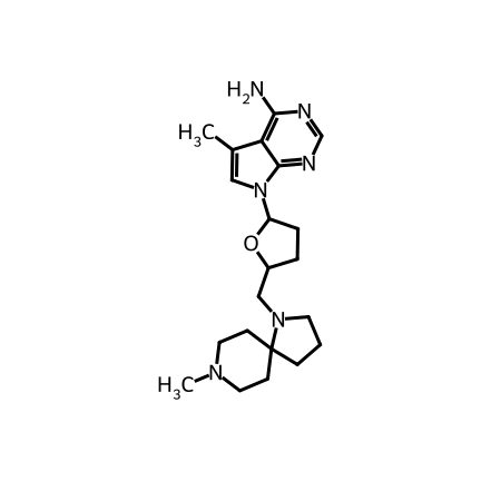 Cc1cn(C2CCC(CN3CCCC34CCN(C)CC4)O2)c2ncnc(N)c12